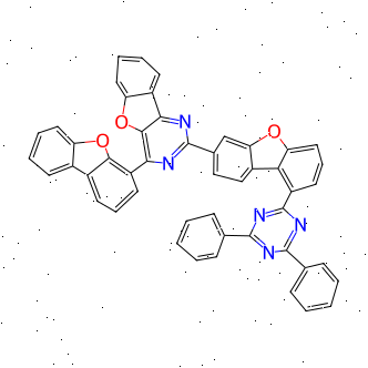 c1ccc(-c2nc(-c3ccccc3)nc(-c3cccc4oc5cc(-c6nc(-c7cccc8c7oc7ccccc78)c7oc8ccccc8c7n6)ccc5c34)n2)cc1